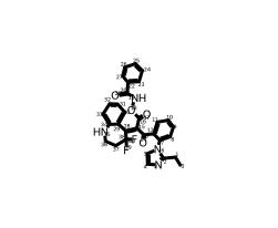 CCc1nccn1-c1ccccc1C(=O)C(C(=O)ONC(=O)c1ccccc1)=C1c2ccccc2NCCC1(F)F